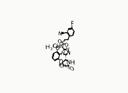 COc1cccc(OC)c1-n1c(NS(=O)(=O)CCc2ccc(F)cc2C#N)nnc1[C@H]1CCC(=O)N1